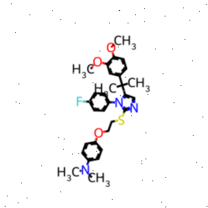 COc1ccc(C(C)(C)c2cnc(SCCOc3ccc(N(C)C)cc3)n2-c2ccc(F)cc2)cc1OC